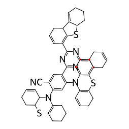 N#Cc1cc(-c2nc(C3=C4SC5CCCC=C5C4CC=C3)nc(C3CC=CCC3)n2)c(N2C3=C(CCC=C3)Sc3ccccc32)cc1N1C2=C(CCCC2)SC2CCC=CC21